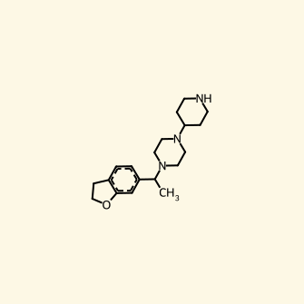 CC(c1ccc2c(c1)OCC2)N1CCN(C2CCNCC2)CC1